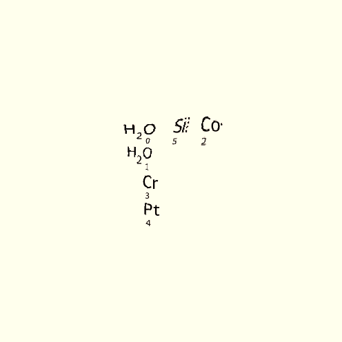 O.O.[Co].[Cr].[Pt].[Si]